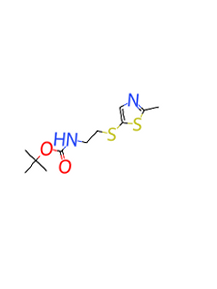 Cc1ncc(SCCNC(=O)OC(C)(C)C)s1